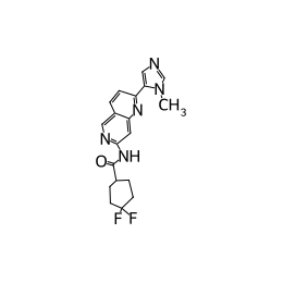 Cn1cncc1-c1ccc2cnc(NC(=O)C3CCC(F)(F)CC3)cc2n1